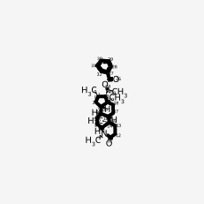 C[C@H]1C[C@H]2[C@@H]3CC[C@H]4N(C)C(=O)CC[C@]4(C)[C@H]3CC[C@]2(C)[C@H]1[C@@H](C)OC(=O)c1ccccc1